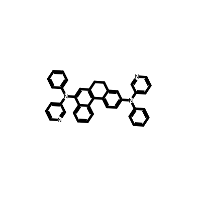 c1ccc(N(c2cccnc2)c2ccc3c(c2)CCc2cc(N(c4ccccc4)c4cccnc4)c4ccccc4c2-3)cc1